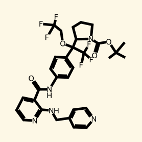 CC(C)(C)OC(=O)N1CCCC1C(OCC(F)(F)F)(c1ccc(NC(=O)c2cccnc2NCc2ccncc2)cc1)C(F)(F)F